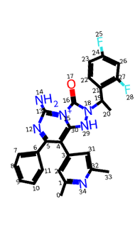 Cc1cc(-c2c(-c3ccccc3)nc(N)[n+]3c(=O)n(C(C)c4ccc(F)cc4F)[nH]c23)cc(C)n1